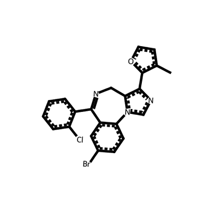 Cc1ccoc1-c1ncn2c1CN=C(c1ccccc1Cl)c1cc(Br)ccc1-2